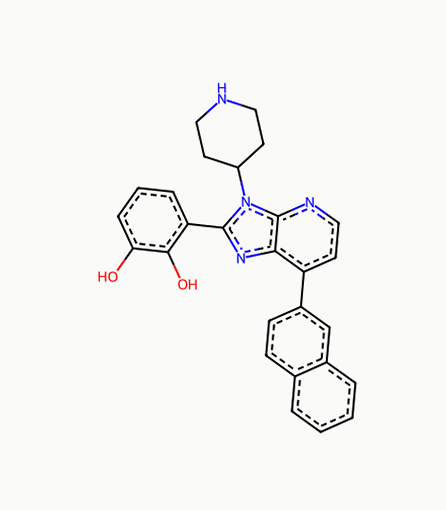 Oc1cccc(-c2nc3c(-c4ccc5ccccc5c4)ccnc3n2C2CCNCC2)c1O